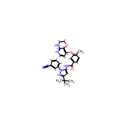 Cc1ccc(C(=O)Nc2cc(C(C)(C)C)nn2-c2cccc(C#N)c2)cc1Oc1ccnc2c1OCCN2